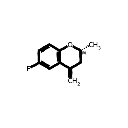 C=C1C[C@@H](C)Oc2ccc(F)cc21